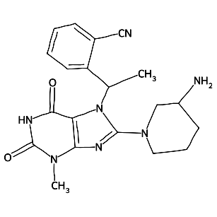 CC(c1ccccc1C#N)n1c(N2CCCC(N)C2)nc2c1c(=O)[nH]c(=O)n2C